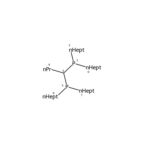 CCCCCCCP(CCCCCCC)C(CCC)P(CCCCCCC)CCCCCCC